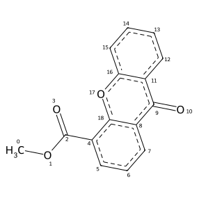 COC(=O)c1cccc2c(=O)c3ccccc3oc12